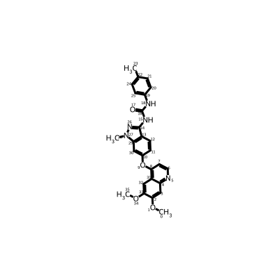 COc1cc2nccc(Oc3ccc4c(NC(=O)Nc5ccc(C)cc5)nn(C)c4c3)c2cc1OC